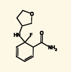 NC(=O)C1C=CC=CC1(F)NC1CCOC1